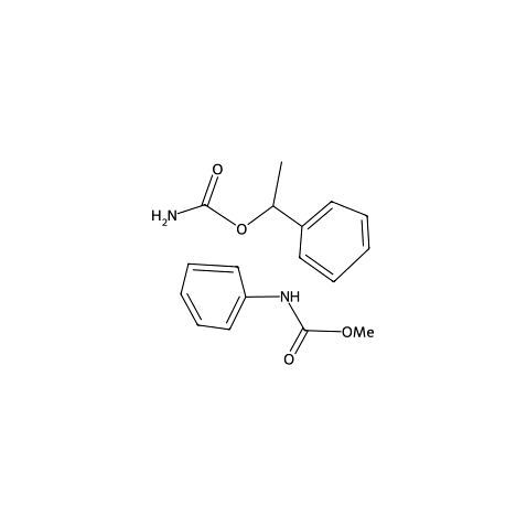 CC(OC(N)=O)c1ccccc1.COC(=O)Nc1ccccc1